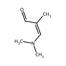 C/C(C=O)=C/N(C)C